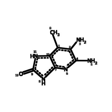 Cc1c(N)c(N)nc2[nH]c(=O)[nH]c12